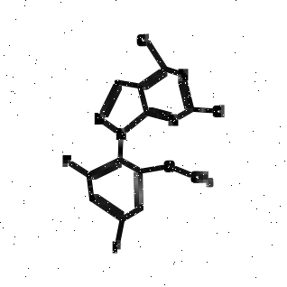 COc1cc(F)cc(F)c1-n1ncc2c(Cl)nc(Cl)nc21